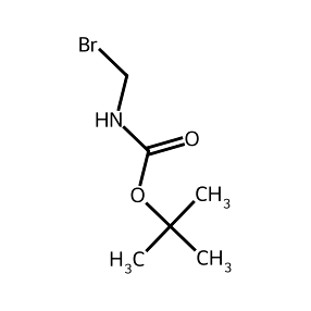 CC(C)(C)OC(=O)NCBr